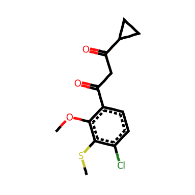 COc1c(C(=O)CC(=O)C2CC2)ccc(Cl)c1SC